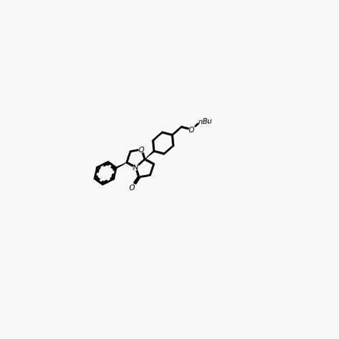 CCCCOCC1CCC([C@@]23CCC(=O)N2[C@@H](c2ccccc2)CO3)CC1